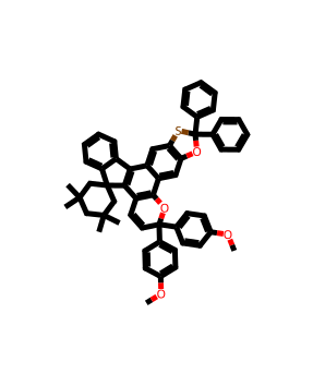 COc1ccc(C2(c3ccc(OC)cc3)C=Cc3c4c(c5cc6c(cc5c3O2)OC(c2ccccc2)(c2ccccc2)S6)-c2ccccc2C42CC(C)(C)CC(C)(C)C2)cc1